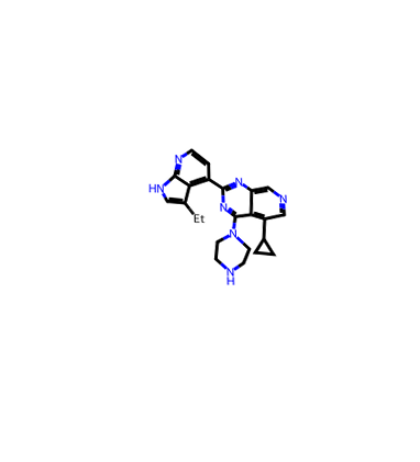 CCc1c[nH]c2nccc(-c3nc(N4CCNCC4)c4c(C5CC5)cncc4n3)c12